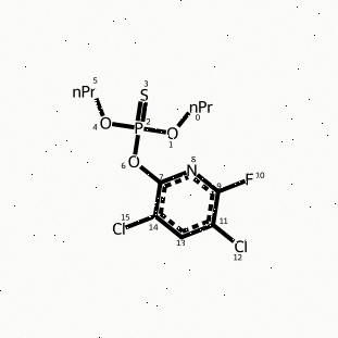 CCCOP(=S)(OCCC)Oc1nc(F)c(Cl)cc1Cl